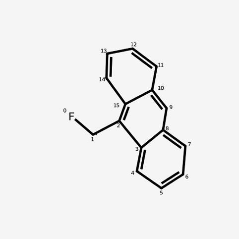 F[CH]c1c2ccccc2cc2ccccc12